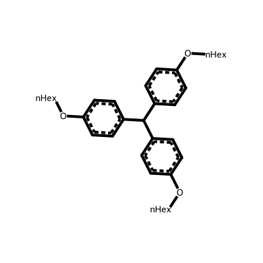 CCCCCCOc1ccc(C(c2ccc(OCCCCCC)cc2)c2ccc(OCCCCCC)cc2)cc1